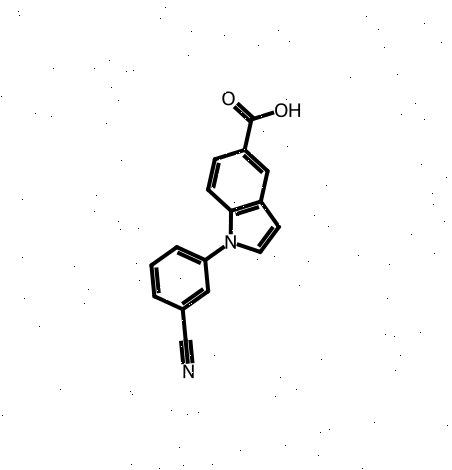 N#Cc1cccc(-n2ccc3cc(C(=O)O)ccc32)c1